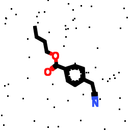 CCCCOC(=O)c1ccc(CC#N)cc1